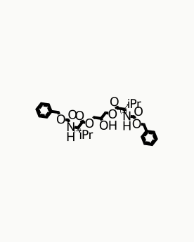 CC(C)[C@H](NC(=O)OCc1ccccc1)C(=O)OCC(O)COC(=O)[C@@H](NC(=O)OCc1ccccc1)C(C)C